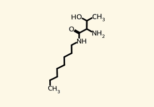 CCCCCCCCNC(=O)C(N)C(C)O